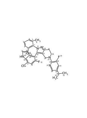 Cc1cccc(C)c1-n1nc2c(c1-c1c(F)cc(Cl)c3[nH]ccc13)CN(c1ncc(C(C)C)cc1F)CC2